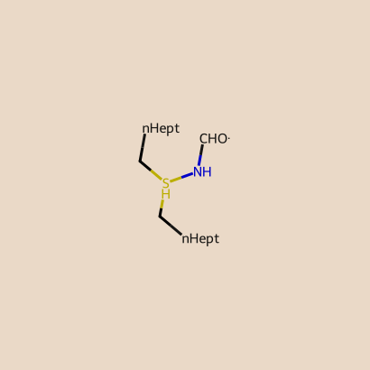 CCCCCCCC[SH](CCCCCCCC)N[C]=O